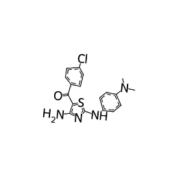 CN(C)c1ccc(Nc2nc(N)c(C(=O)c3ccc(Cl)cc3)s2)cc1